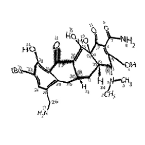 CN(C)[C@H]1C(O)=C(C(N)=O)C(=O)[C@@]2(O)C(O)=C3C(=O)c4c(O)c(C(C)(C)C)cc(CN)c4C[C@H]3C[C@@H]12